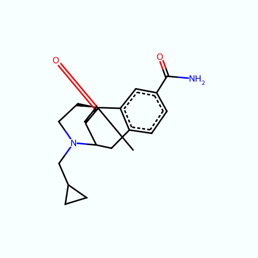 NC(=O)c1ccc2c(c1)[C@]13CCN(CC4CC4)C(C2)C1CCC(=O)C3